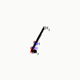 CCC=CCC=CCC=CCC=CCC=CCC=CCCC(=O)NCCSCCNC(=O)C1=CC(=O)C(C)(c2ccccc2)O1